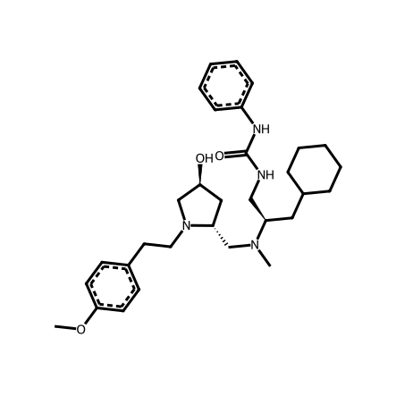 COc1ccc(CCN2C[C@@H](O)C[C@@H]2CN(C)[C@@H](CNC(=O)Nc2ccccc2)CC2CCCCC2)cc1